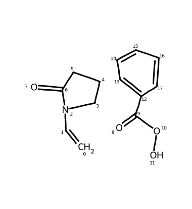 C=CN1CCCC1=O.O=C(OO)c1ccccc1